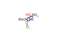 COc1cc2c(O)c([N+](=O)[O-])cnc2cc1OCCCl